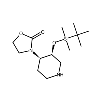 CC(C)(C)[Si](C)(C)O[C@H]1CNCC[C@H]1N1CCOC1=O